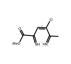 COC(=O)C(=N)/C=C(/Cl)C(C)=N